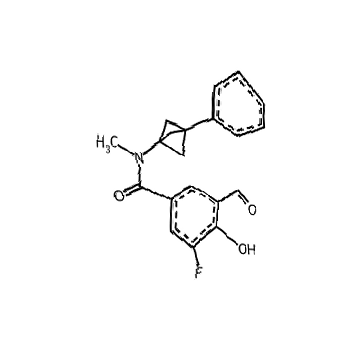 CN(C(=O)c1cc(F)c(O)c(C=O)c1)C12CC(c3ccccc3)(C1)C2